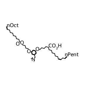 CCCCC/C=C\C/C=C\CCCCCCC(CCCCOc1cc(CN(C)C)cc(OCCCCOC(=O)CCCCCCC/C=C\CCCCCCCC)c1)C(=O)O